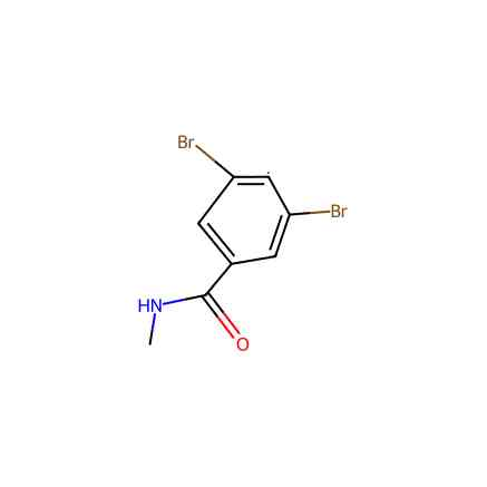 CNC(=O)c1cc(Br)[c]c(Br)c1